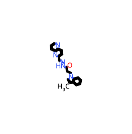 Cc1cn(CCC(=O)N/N=C/c2ccc3ncccc3n2)c2ccccc12